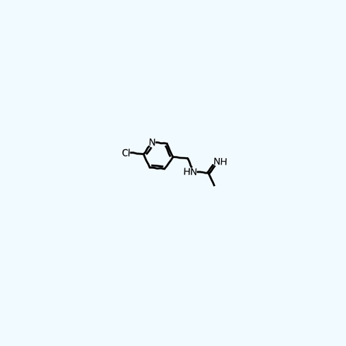 CC(=N)NCc1ccc(Cl)nc1